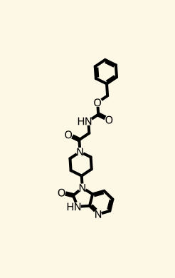 O=C(NCC(=O)N1CCC(n2c(=O)[nH]c3ncccc32)CC1)OCc1ccccc1